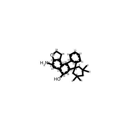 CC1(C)CC(C)(C)CC2(C1)c1ccccc1-c1c2cc(O)c2cc(N)c3c(c12)CCO3